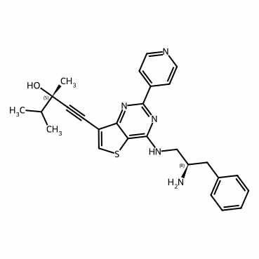 CC(C)[C@](C)(O)C#Cc1csc2c(NC[C@H](N)Cc3ccccc3)nc(-c3ccncc3)nc12